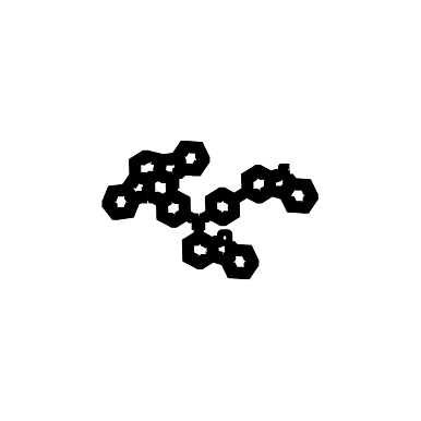 c1ccc2c(c1)oc1c(N(c3ccc(-c4ccc5sc6ccccc6c5c4)cc3)c3ccc4c(c3)n3c5ccccc5c5ccc6c7ccccc7n4c6c53)cccc12